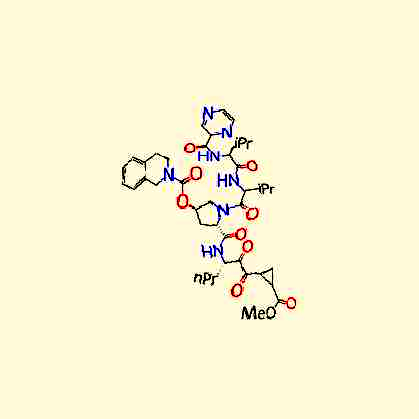 CCC[C@H](NC(=O)[C@@H]1C[C@@H](OC(=O)N2CCc3ccccc3C2)CN1C(=O)C(NC(=O)[C@@H](NC(=O)c1cnccn1)C(C)C)C(C)C)C(=O)C(=O)C1CC1C(=O)OC